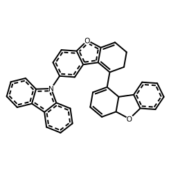 C1=CC2Oc3ccccc3C2C(C2=c3c(oc4ccc(-n5c6ccccc6c6ccccc65)cc34)=CCC2)=C1